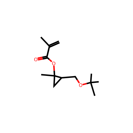 C=C(C)C(=O)OC1(C)CC1COC(C)(C)C